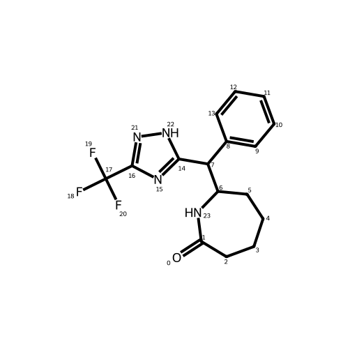 O=C1CCCCC(C(c2ccccc2)c2nc(C(F)(F)F)n[nH]2)N1